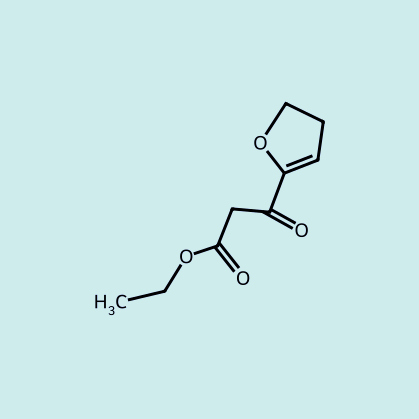 CCOC(=O)CC(=O)C1=CCCO1